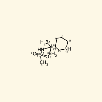 BC(B)(NS(C)(=O)=O)[C@H]1CCCNC1